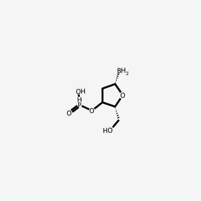 B[C@H]1CC(O[PH](=O)O)[C@@H](CO)O1